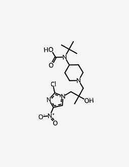 CC(O)(CN1CCC(N(C(=O)O)C(C)(C)C)CC1)Cn1cc([N+](=O)[O-])nc1Cl